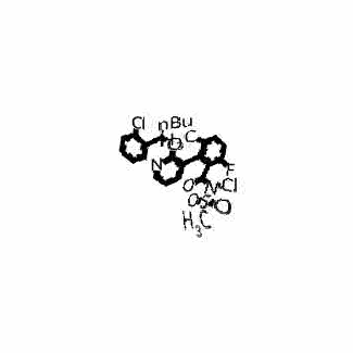 CCCC[C@H](Oc1ncccc1-c1c(C)ccc(F)c1C(=O)N(Cl)S(C)(=O)=O)c1ccccc1Cl